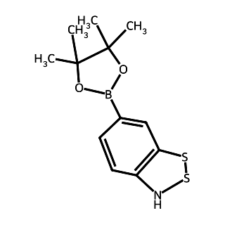 CC1(C)OB(c2ccc3c(c2)SSN3)OC1(C)C